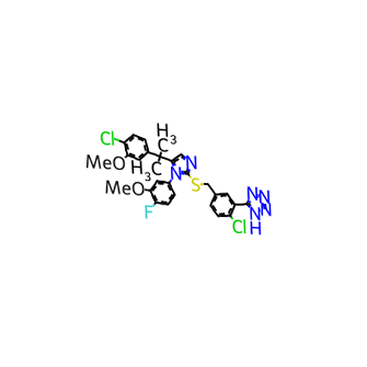 COc1cc(-n2c(C(C)(C)c3ccc(Cl)c(OC)c3)cnc2SCc2ccc(Cl)c(-c3nnn[nH]3)c2)ccc1F